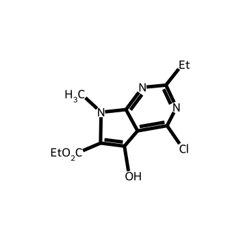 CCOC(=O)c1c(O)c2c(Cl)nc(CC)nc2n1C